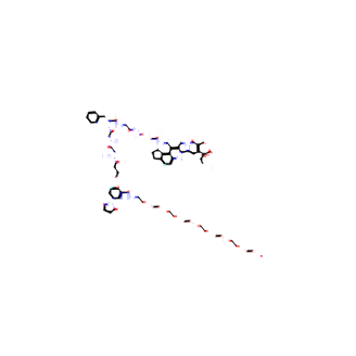 CC[C@@]1(O)C(=O)OCc2c1cc1n(c2=O)Cc2c-1nc1cc(F)c3c(c1c2[C@H](C)NC(=O)COCNC(=O)CNC(=O)[C@H](Cc1ccccc1)NC(=O)CNC(=O)CNC(=O)CCCOc1c(F)cc(N2C(=O)C=CC2=O)cc1C(=O)NCCOCCOCCOCCOCCOCCOCCOCCOC)CCC3